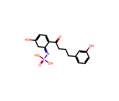 O=C(CCCc1cccc(O)c1)C1=CC=C(O)CC1=NP(=O)(O)O